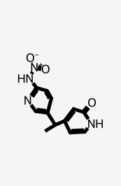 CC(c1ccc(N[N+](=O)[O-])nc1)c1cc[nH]c(=O)c1